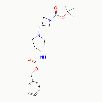 CC(C)(C)OC(=O)N1CC(CN2CCC(NC(=O)OCc3ccccc3)CC2)C1